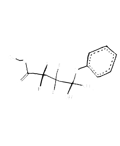 CC(C)(C)OC(=O)C(F)(F)C(F)(F)C(C)(O)Oc1ccccc1